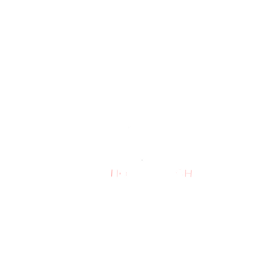 Cc1ccc2c3c(ccc2c1)C(C)(O)C(O)C=C3